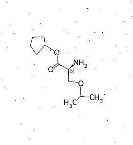 CC(C)OC[C@H](N)C(=O)OC1CCCC1